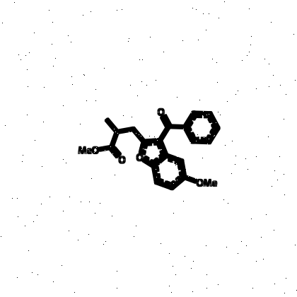 COC(=O)C(C)Cc1oc2ccc(OC)cc2c1C(=O)c1ccccc1